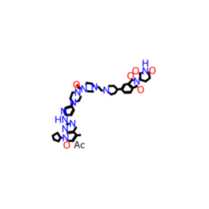 CC(=O)c1c(C)c2cnc(Nc3ccc(N4CCN(C(=O)N5CCN(CCN6CCC(c7ccc8c(c7)C(=O)N(C7CCC(=O)NC7=O)C8=O)CC6)CC5)CC4)cn3)nc2n(C2CCCC2)c1=O